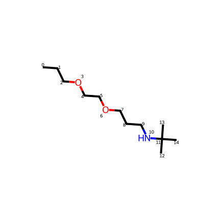 CCCOCCOCCCNC(C)(C)C